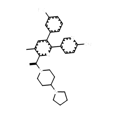 Cc1cc(-c2cccc(C(F)(F)F)c2)c(-c2ccc(O)nc2)nc1C(=O)N1CCC(N2CCCC2)CC1